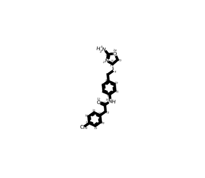 NC1=N[C@@H](CCc2ccc(NC(=O)Cc3ccc(Cl)cc3)cc2)CO1